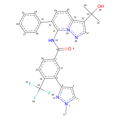 Cn1ccc(-c2cc(C(=O)Nc3c(-c4ccccc4)ccc4c(C(C)(C)O)cnn34)ccc2C(F)(F)F)n1